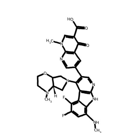 CNc1cc(F)c(F)c2c1[nH]c1ncc(-c3cnc4c(c3)c(=O)c(C(=O)O)cn4C)c(N3CC4OCCN(C)[C@H]4C3)c12